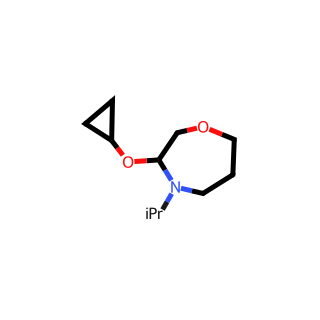 CC(C)N1CCCOCC1OC1CC1